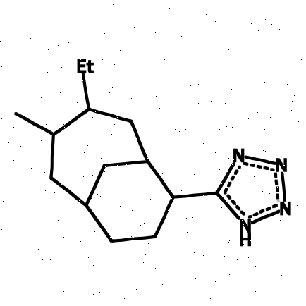 CCC1CC2CC(CCC2c2nnn[nH]2)CC1C